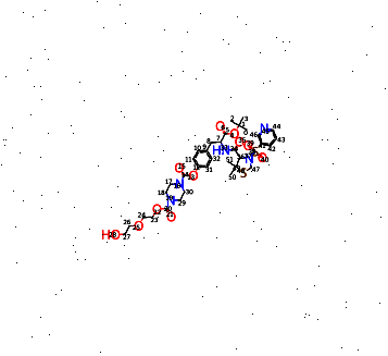 CC(C)(C)OC(=O)[C@H](Cc1ccc(OC(=O)N2CCN(C(=O)OCCOCCO)CC2)cc1)NC(=O)[C@H]1N(S(=O)(=O)c2cccnc2)CSC1(C)C